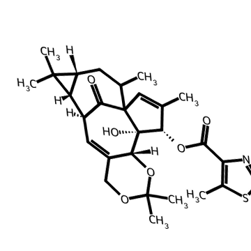 CC1=CC23C(=O)[C@@H](C=C4COC(C)(C)O[C@H]4[C@]2(O)[C@H]1OC(=O)c1ncsc1C)[C@H]1[C@@H](CC3C)C1(C)C